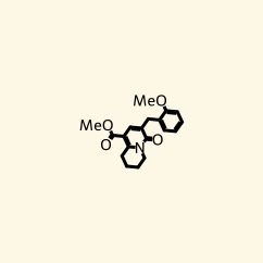 COC(=O)c1cc(Cc2ccccc2OC)c(=O)n2c1CCCC2